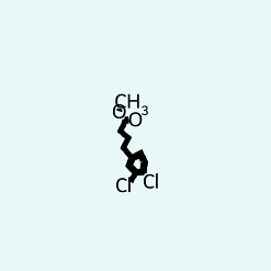 COC(=O)CCCc1ccc(Cl)c(Cl)c1